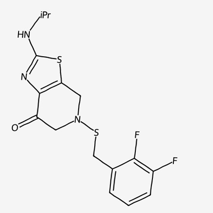 CC(C)Nc1nc2c(s1)CN(SCc1cccc(F)c1F)CC2=O